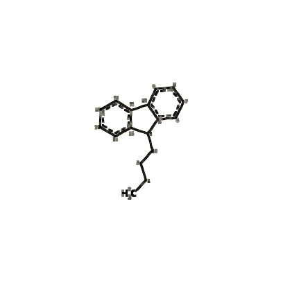 CCC[CH]C1c2ccccc2-c2ccccc21